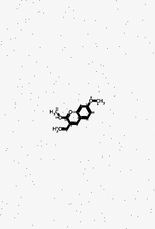 C=CC(=Cc1ccc(OC)cc1)C(=O)OC